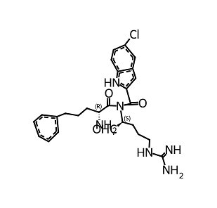 N=C(N)NCCC[C@@H]([C]=O)N(C(=O)c1cc2cc(Cl)ccc2[nH]1)C(=O)[C@H](N)CCCc1ccccc1